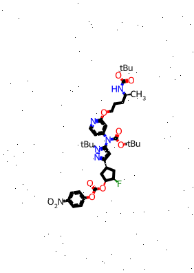 C[C@@H](CCCOc1cc(N(C(=O)OC(C)(C)C)c2cc([C@H]3C[C@@H](F)[C@@H](OC(=O)Oc4ccc([N+](=O)[O-])cc4)C3)nn2C(C)(C)C)ccn1)NC(=O)OC(C)(C)C